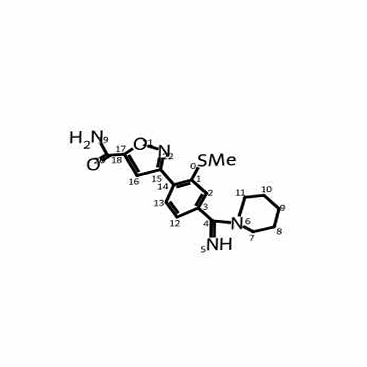 CSc1cc(C(=N)N2CCCCC2)ccc1-c1cc(C(N)=O)on1